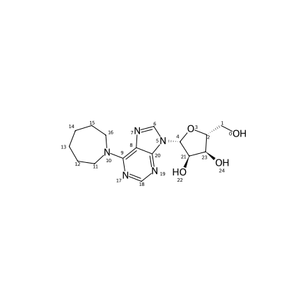 OC[C@H]1O[C@@H](n2cnc3c(N4CCCCCC4)ncnc32)[C@H](O)[C@@H]1O